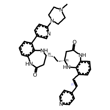 CN1CCN(c2ccc(-c3cccc4c3N[C@H](CC[C@@H]3CC(=O)Nc5cccc(/C=C/c6ccncc6)c5N3)CC(=O)N4)cn2)CC1